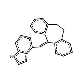 C(=C1c2ccccc2CCc2ccccc21)c1cccc2[nH]ccc12